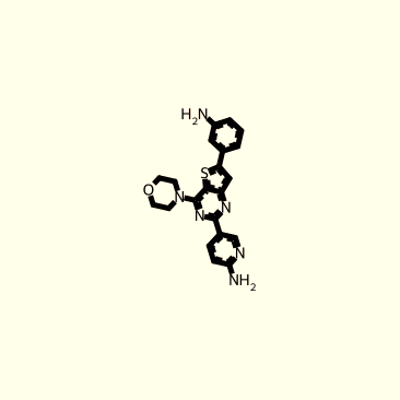 Nc1cccc(-c2cc3nc(-c4ccc(N)nc4)nc(N4CCOCC4)c3s2)c1